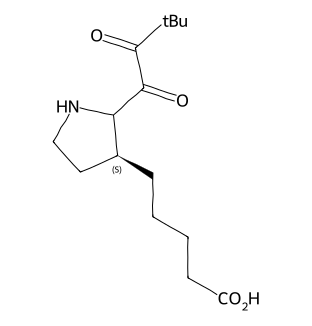 CC(C)(C)C(=O)C(=O)C1NCC[C@@H]1CCCCC(=O)O